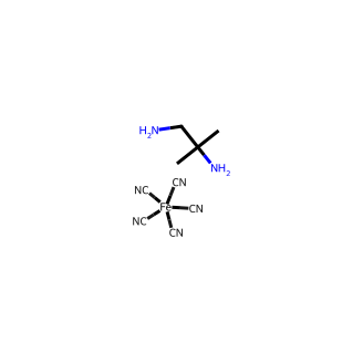 CC(C)(N)CN.N#[C][Fe]([C]#N)([C]#N)([C]#N)[C]#N